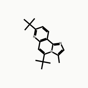 Cc1cnc2c3ccc(C(C)(C)C)nc3cc(C(C)(C)C)n12